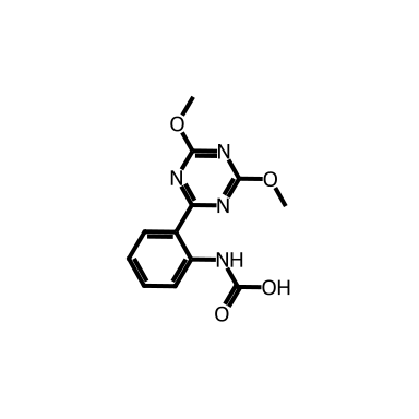 COc1nc(OC)nc(-c2ccccc2NC(=O)O)n1